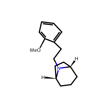 COc1ccccc1CCN1[C@@H]2CCC[C@H]1CC2